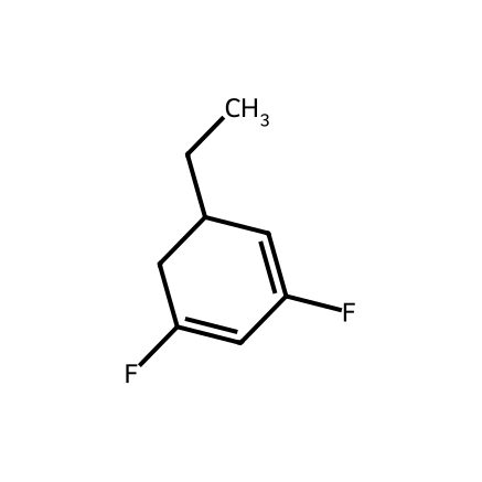 CCC1C=C(F)C=C(F)C1